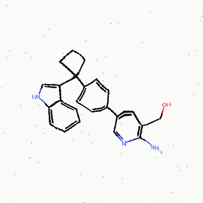 Nc1ncc(-c2ccc(C3(c4c[nH]c5ccccc45)CCC3)cc2)cc1CO